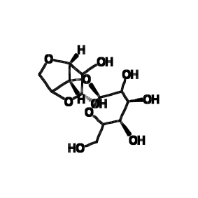 OCC1O[C@@H](O[C@@H]2C3CO[C@@H]2C(O)[C@H](O)O3)C(O)[C@@H](O)[C@H]1O